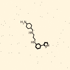 NC1CCC(CNCCCNc2cccc(-c3ccns3)c2)CC1